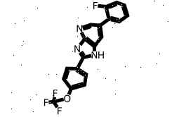 Fc1ccccc1-c1cnc2nc(-c3ccc(OC(F)(F)F)cc3)[nH]c2c1